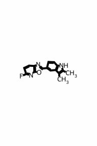 Cc1[nH]c2ccc(-c3nc4ccc(F)nc4o3)cc2c1C